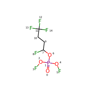 O=P(OF)(OF)OC(F)CCC(F)(F)F